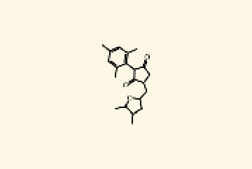 Cc1cc(C)c(C2C(=O)CC(CC3CC(C)C(C)O3)C2=O)c(C)c1